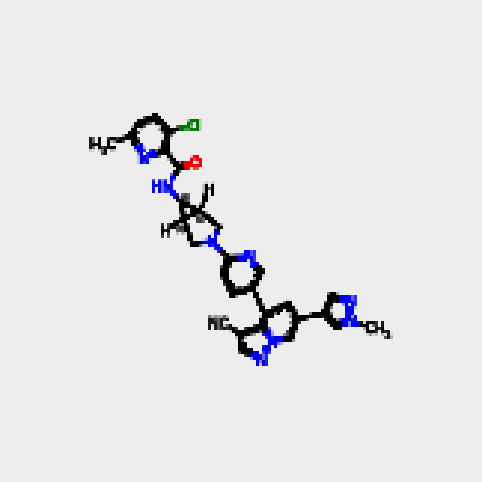 Cc1ccc(Cl)c(C(=O)N[C@H]2[C@@H]3CN(c4ccc(-c5cc(-c6cnn(C)c6)cn6ncc(C#N)c56)cn4)C[C@@H]32)n1